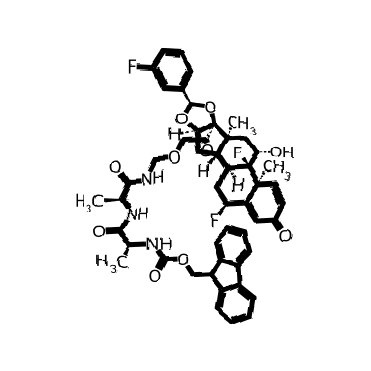 C[C@H](NC(=O)OCC1c2ccccc2-c2ccccc21)C(=O)N[C@@H](C)C(=O)NCOCC(=O)[C@@]12O[C@H](c3cccc(F)c3)O[C@@H]1C[C@H]1[C@@H]3C[C@H](F)C4=CC(=O)C=C[C@]4(C)[C@@]3(F)[C@@H](O)C[C@@]12C